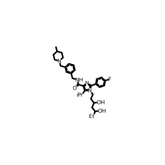 [CH2]CC(O)CC(O)CCn1c(-c2ccc(F)cc2)nc(C(=O)NCc2cccc(CN3CCC(C)CC3)c2)c1C(C)C